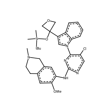 COc1cc2c(cc1Nc1ncc(Cl)c(-n3cc(C4(O[Si](C)(C)C(C)(C)C)COC4)c4ccccc43)n1)CN(C)CC2